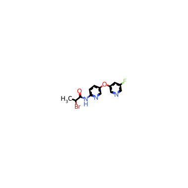 CC(Br)C(=O)Nc1ccc(Oc2cncc(F)c2)cn1